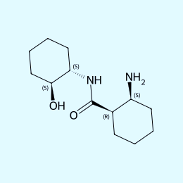 N[C@H]1CCCC[C@H]1C(=O)N[C@H]1CCCC[C@@H]1O